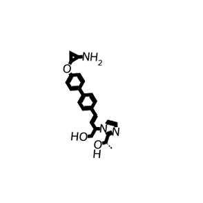 C[C@H](O)c1nccn1C(/C=C/c1ccc(-c2ccc(OC3CC3N)cc2)cc1)CO